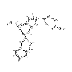 CN1CCN(Cc2ccc3/c(=N/O)cc(-c4cc5ccccc5cn4)oc3c2)CC1